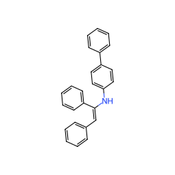 C(=C(Nc1ccc(-c2ccccc2)cc1)c1ccccc1)c1ccccc1